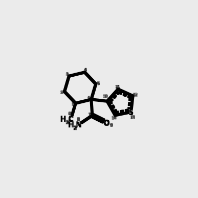 CC1CCCCC1(C(N)=O)c1ccsc1